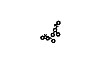 CC1(C)C(c2ccc(-c3ccc(N(c4ccccc4)c4ccc5c(c4)C(C)(C)c4ccccc4-5)cc3)c(-c3ccccc3)c2)=Nc2ccccc21